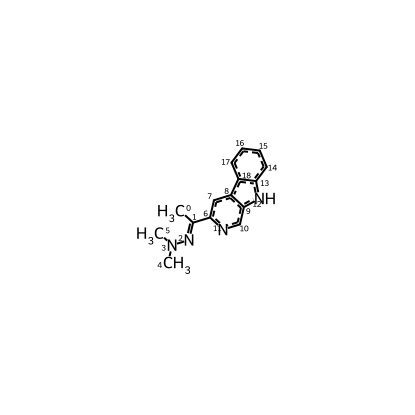 CC(=NN(C)C)c1cc2c(cn1)[nH]c1ccccc12